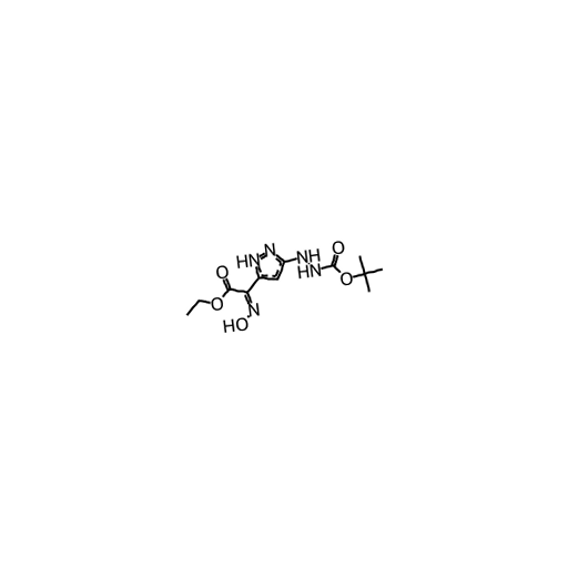 CCOC(=O)C(=NO)c1cc(NNC(=O)OC(C)(C)C)n[nH]1